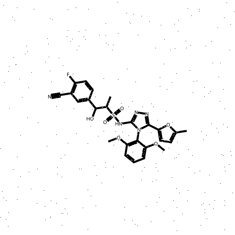 COc1cccc(OC)c1-n1c(NS(=O)(=O)C(C)C(O)c2ccc(F)c(C#N)c2)nnc1-c1ccc(C)o1